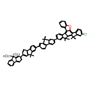 CCCCCCCCC1(CCCCCCCC)c2ccccc2-c2ccc(-c3ccc4c(c3)C(C)(C)c3cc(-c5ccc6c(c5)C(C)(C)c5cc(-c7ccc8c(c7)C(C)(C)c7c9c(c%10oc%11ccccc%11c%10c7-8)-c7ccc(Cl)cc7C9(C)C)ccc5-6)ccc3-4)cc21